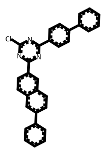 Clc1nc(-c2ccc(-c3ccccc3)cc2)nc(-c2ccc3cc(-c4ccccc4)ccc3c2)n1